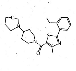 CCc1ccccc1-c1nc(C)c(C(=O)N2CCC(N3CCCCC3)CC2)s1